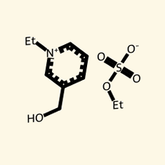 CCOS(=O)(=O)[O-].CC[n+]1cccc(CO)c1